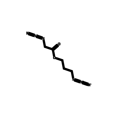 [N-]=[N+]=NCCCOC(=O)CN=[N+]=[N-]